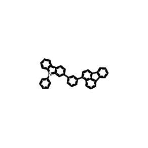 c1ccc(-n2c3ccccc3c3ccc(-c4cccc(-c5ccc6c7c(cccc57)-c5ccccc5-6)c4)cc32)cc1